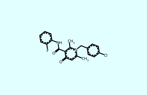 Cc1cc(=O)c(C(=O)Nc2ccccc2F)c(C)n1Cc1ccc(Cl)cc1